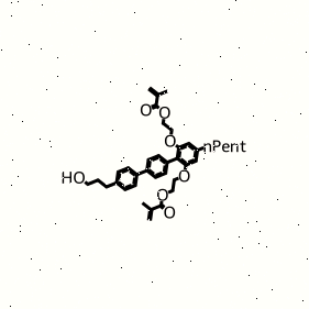 C=C(C)C(=O)OCCOc1cc(CCCCC)cc(OCCOC(=O)C(=C)C)c1-c1ccc(-c2ccc(CCCO)cc2)cc1